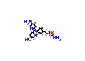 N#Cc1ccc(N(c2ccc(CC[C@H]3COC(N)=N3)cc2)c2ccc(N)cn2)nc1